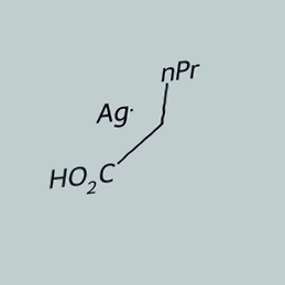 CCCCC(=O)O.[Ag]